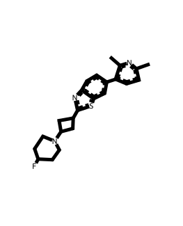 Cc1ccc(-c2ccc3nc(C4CC(N5CCC(F)CC5)C4)sc3c2)c(C)n1